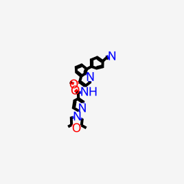 COc1c(NC(=O)c2ccc(N3CC(C)OC(C)C3)nc2)cnc2c(-c3ccc(C#N)cc3)cccc12